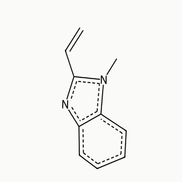 C=Cc1nc2ccccc2n1C